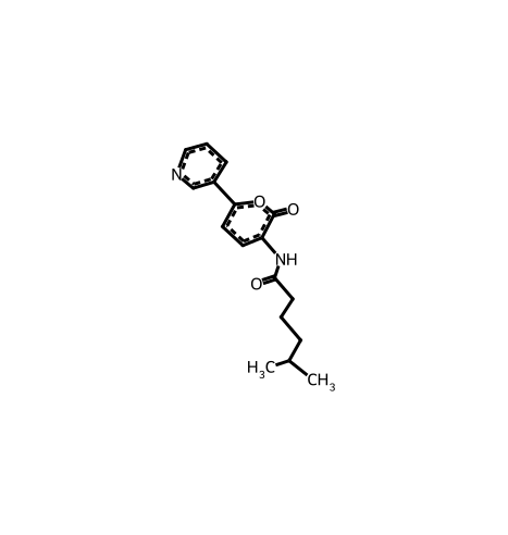 CC(C)CCCC(=O)Nc1ccc(-c2cccnc2)oc1=O